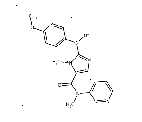 COc1ccc([S+]([O-])c2ncc(C(=O)N(C)c3cccnc3)n2C)cc1